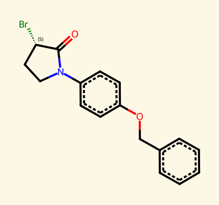 O=C1[C@@H](Br)CCN1c1ccc(OCc2ccccc2)cc1